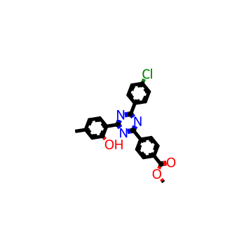 COC(=O)c1ccc(-c2nc(-c3ccc(Cl)cc3)nc(-c3ccc(C)cc3O)n2)cc1